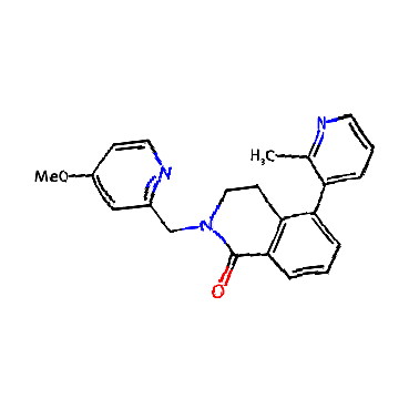 COc1ccnc(CN2CCc3c(cccc3-c3cccnc3C)C2=O)c1